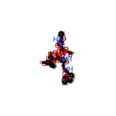 [C-]#[N+]CCOP(=O)(OC[C@H]1O[C@@H](n2ccc(NC(=O)c3ccccc3)nc2=O)CC1OC(=O)CCC(C)=O)OC1C[C@H](n2cc(C#CCNC(=O)Cc3cn([Si](c4ccccc4)(c4ccccc4)C(C)(C)C)c4ccccc34)c(=O)[nH]c2=O)O[C@@H]1COC(c1ccccc1)(c1ccc(OC)cc1)c1ccc(OC)cc1